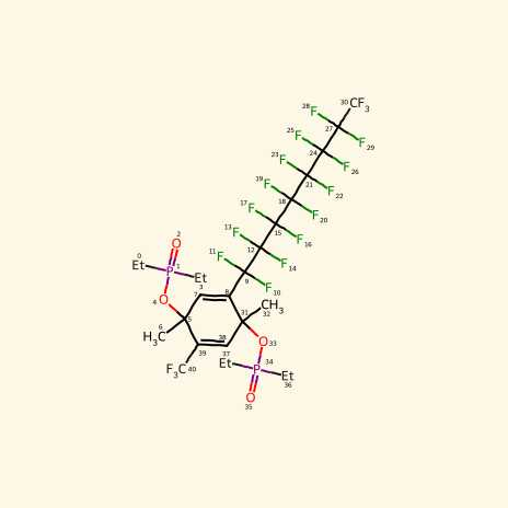 CCP(=O)(CC)OC1(C)C=C(C(F)(F)C(F)(F)C(F)(F)C(F)(F)C(F)(F)C(F)(F)C(F)(F)C(F)(F)F)C(C)(OP(=O)(CC)CC)C=C1C(F)(F)F